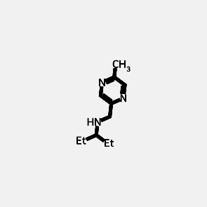 CCC(CC)NCc1cnc(C)cn1